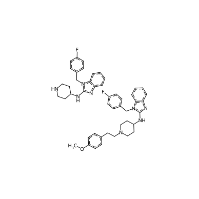 COc1ccc(CCN2CCC(Nc3nc4ccccc4n3Cc3ccc(F)cc3)CC2)cc1.Fc1ccc(Cn2c(NC3CCNCC3)nc3ccccc32)cc1